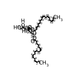 CC/C=C\C/C=C\C/C=C\C/C=C\CCCCC(=O)OC[C@H](COP(=O)(O)OC[C@@H](O)CO)OC(=O)CCCCCCC/C=C\C/C=C\C/C=C\CC